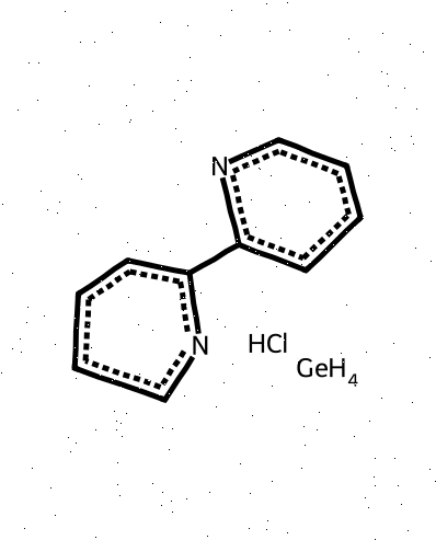 Cl.[GeH4].c1ccc(-c2ccccn2)nc1